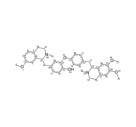 COc1ccc2c(c1)C(Cc1ccc(O)c(Oc3ccc(CC4c5cc(OC)c(OC)cc5CCN4C)cc3)c1)N(C)CC2